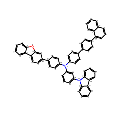 c1cc(N(c2ccc(-c3ccc(-c4cccc5ccccc45)cc3)cc2)c2ccc(-c3ccc4c(c3)oc3ccccc34)cc2)cc(-n2c3ccccc3c3ccccc32)c1